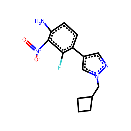 Nc1ccc(-c2cnn(CC3CCC3)c2)c(F)c1[N+](=O)[O-]